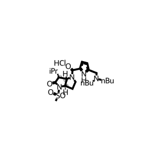 CCCCN(CCCC)Cc1ccc(C(=O)N2CC[C@@H]3[C@@H]2[C@H](C(C)C)C(=O)N3S(C)(=O)=O)[nH]1.Cl